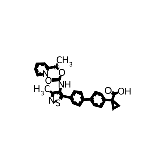 Cc1nsc(-c2ccc(-c3ccc(C4(C(=O)O)CC4)cc3)cc2)c1NC(=O)O[C@H](C)c1ccccn1